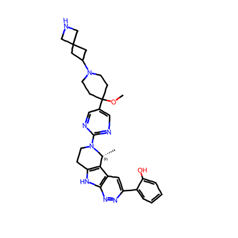 COC1(c2cnc(N3CCc4[nH]c5nnc(-c6ccccc6O)cc5c4[C@H]3C)nc2)CCN(C2CC3(CNC3)C2)CC1